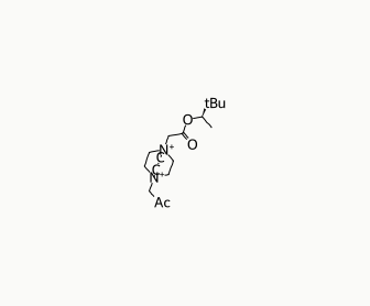 CC(=O)C[N+]12CC[N+](CC(=O)O[C@H](C)C(C)(C)C)(CC1)CC2